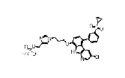 O=P(O)(O)OCc1cn(CCCOc2ccc(-c3cccc(S(=O)(=O)C4CC4)c3)c3c2[nH]c2ncc(Cl)cc23)cn1